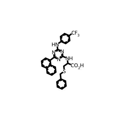 O=C(O)C(CSCc1ccccc1)Nc1nc(Nc2ccc(C(F)(F)F)cc2)nc(-c2cccc3ccccc23)n1